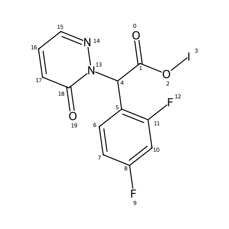 O=C(OI)C(c1ccc(F)cc1F)n1ncccc1=O